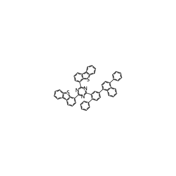 c1ccc(-c2ccc(-c3ccc(-c4ccccc4)c4ccccc34)cc2-c2nc(-c3cccc4c3sc3ccccc34)nc(-c3cccc4c3sc3ccccc34)n2)cc1